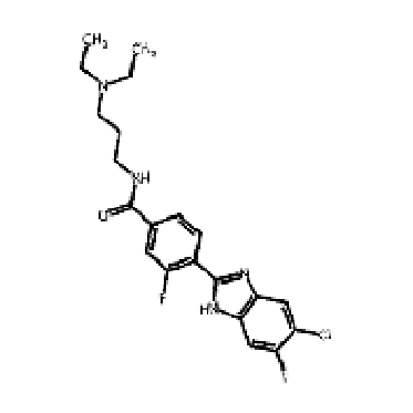 CCN(CC)CCCNC(=O)c1ccc(-c2nc3cc(Cl)c(F)cc3[nH]2)c(F)c1